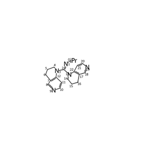 CC(C)N=C(N1CCCc2cnccc21)N1CCCc2cnccc21